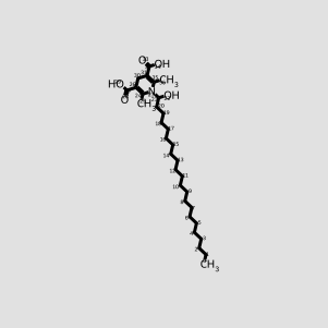 CCCCCCCCCCCCCCCCCCCCCC(O)N1C(C)=C(C(=O)O)CC(C(=O)O)=C1C